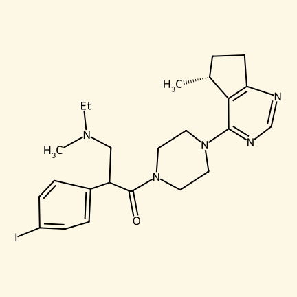 CCN(C)CC(C(=O)N1CCN(c2ncnc3c2[C@H](C)CC3)CC1)c1ccc(I)cc1